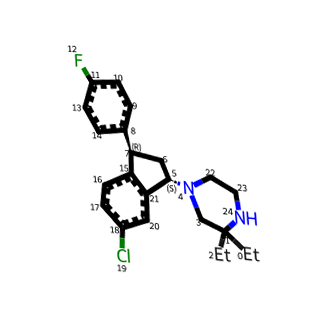 CCC1(CC)CN([C@H]2C[C@H](c3ccc(F)cc3)c3ccc(Cl)cc32)CCN1